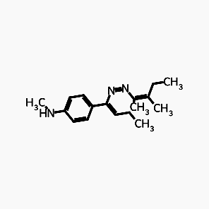 CC\C=C(/N=N\C(C)=C(\C)CC)c1ccc(NC)cc1